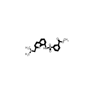 COC(=O)c1cccc(S(=O)(=O)Nc2cccc3ccc(CN(C)C)nc23)c1